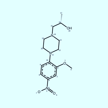 COc1cc([N+](=O)[O-])ccc1N1CCN(C[C@H](C)O)CC1